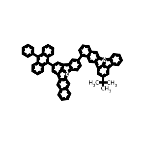 CC(C)(C)c1cc2c3ccccc3n3c4cc5cccc(-c6ccc7c(c6)c6cc(-c8c9ccccc9c(-c9ccccc9)c9ccccc89)cc8c9cc%10ccccc%10cc9n7c68)c5cc4c(c1)c23